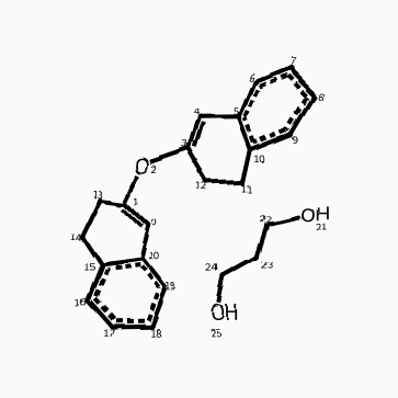 C1=C(OC2=Cc3ccccc3CC2)CCc2ccccc21.OCCCO